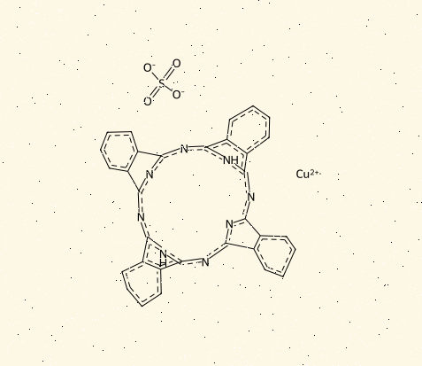 O=S(=O)([O-])[O-].[Cu+2].c1ccc2c(c1)-c1nc-2nc2[nH]c(nc3nc(nc4[nH]c(n1)c1ccccc41)-c1ccccc1-3)c1ccccc21